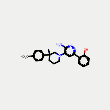 CC1(c2ccc(C(=O)O)cc2)CCCN(c2cc(-c3ccccc3O)nnc2N)C1